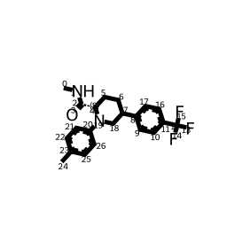 CNC(=O)[C@@H]1CCC(c2ccc(C(F)(F)F)cc2)CN1c1ccc(C)cc1